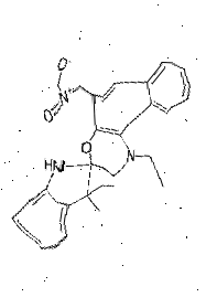 CCN1CC2(Nc3ccccc3C2(C)C)Oc2c([N+](=O)[O-])cc3ccccc3c21